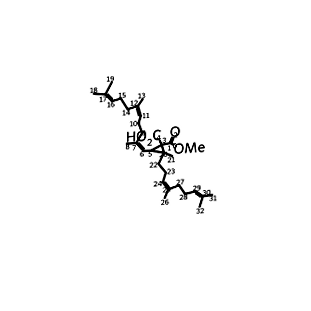 COC(=O)C1(C(=O)O)C(C=C(C)CCC=C(C)CCC=C(C)C)C1(C)CCC=C(C)CCC=C(C)C